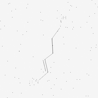 NC=CCCO[SiH3]